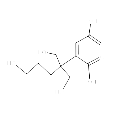 O=C(O)C=C(C(=O)O)C(CO)(CO)CCCO